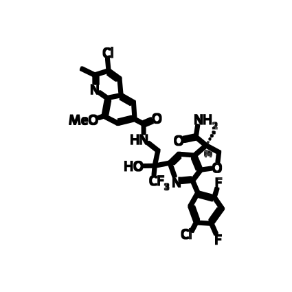 COc1cc(C(=O)NCC(O)(c2cc3c(c(-c4cc(Cl)c(F)cc4F)n2)OC[C@]3(C)C(N)=O)C(F)(F)F)cc2cc(Cl)c(C)nc12